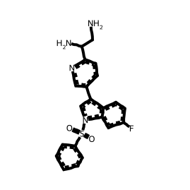 NCC(N)c1ccc(-c2cn(S(=O)(=O)c3ccccc3)c3cc(F)ccc23)cn1